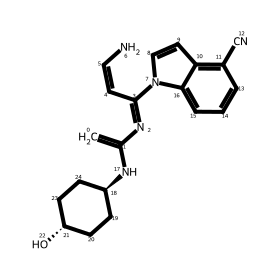 C=C(/N=C(\C=C/N)n1ccc2c(C#N)cccc21)N[C@H]1CC[C@H](O)CC1